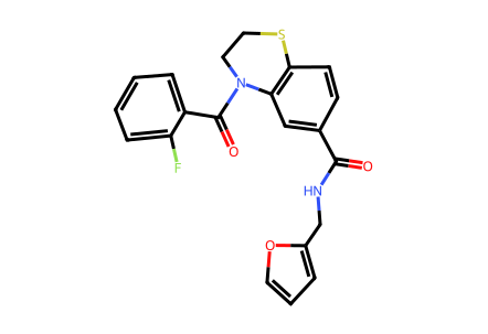 O=C(NCc1ccco1)c1ccc2c(c1)N(C(=O)c1ccccc1F)CCS2